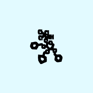 N=C(OC1OC[C@@H](OCc2ccccc2)C(OCc2ccccc2)C1OCc1ccccc1)C(Cl)(Cl)Cl